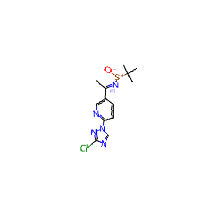 C/C(=N\[S+]([O-])C(C)(C)C)c1ccc(-n2cnc(Cl)n2)nc1